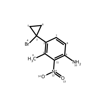 Cc1c(C2(Br)CC2)ccc(N)c1[N+](=O)[O-]